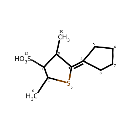 CC1SC(=C2CCCC2)C(C)C1S(=O)(=O)O